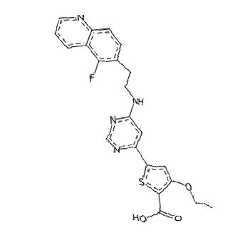 CCOc1cc(-c2cc(NCCc3ccc4ncccc4c3F)ncn2)sc1C(=O)O